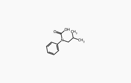 CC(C)CN(C(=O)O)c1ccccc1